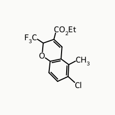 CCOC(=O)C1=Cc2c(ccc(Cl)c2C)OC1C(F)(F)F